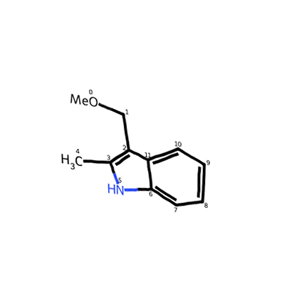 COCc1c(C)[nH]c2ccccc12